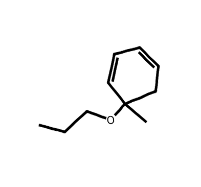 CCCOC1(C)C=CC=CC1